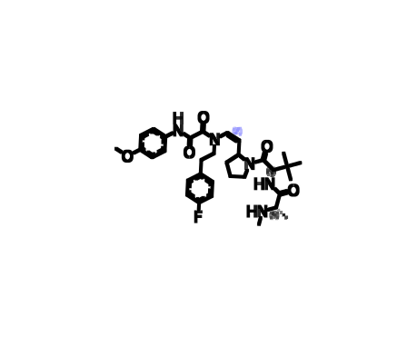 CN[C@@H](C)C(=O)N[C@H](C(=O)N1CCCC1/C=C\N(CCc1ccc(F)cc1)C(=O)C(=O)Nc1ccc(OC)cc1)C(C)(C)C